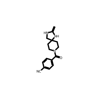 C=C1NCC2(CCN(C(=O)c3ccc(C#N)cc3)CC2)N1